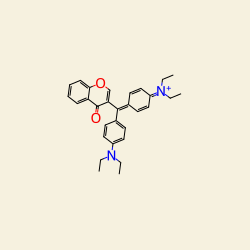 CCN(CC)c1ccc(C(=C2C=CC(=[N+](CC)CC)C=C2)c2coc3ccccc3c2=O)cc1